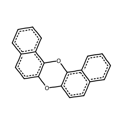 c1ccc2c3c(ccc2c1)Oc1ccc2ccccc2c1O3